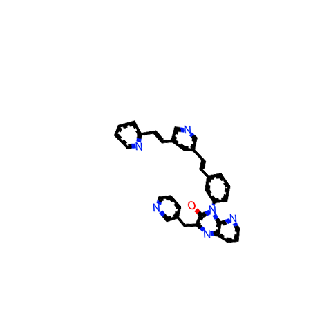 O=c1c(Cc2cccnc2)nc2cccnc2n1-c1cccc(C=Cc2cncc(C=Cc3ccccn3)c2)c1